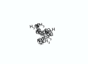 C[C@@H](COc1ccnc2c1[C@H](C)CCC2)C[C@H]1Cc2cc3c(cc2C12CCC(Nc1cccc(Cl)c1)(C(=O)O)CC2)O[C@@H](CCN(C)C)CO3